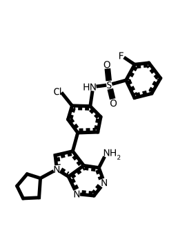 Nc1ncnc2c1c(-c1ccc(NS(=O)(=O)c3ccccc3F)c(Cl)c1)cn2C1CCCC1